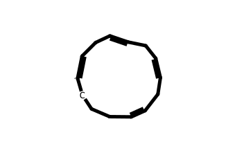 [C]1=CCC=CCC=CCC=CCCC1